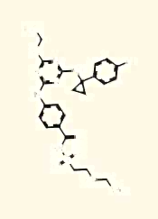 CC(C)(C)CNCCS(=O)(=O)NC(=O)c1ccc(Nc2nc(NC3(c4ccc(Cl)cc4)CC3)nc(OCC(F)(F)F)n2)cc1